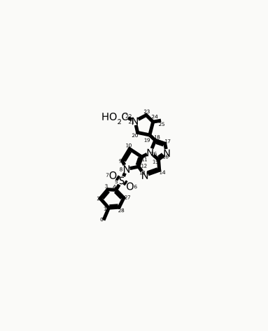 Cc1ccc(S(=O)(=O)n2ccc3c2ncc2ncc(C4CN(C(=O)O)CC4C)n23)cc1